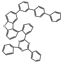 c1ccc(-c2ccc(-c3cccc(-c4ccc5oc6cccc(-c7ccccc7-c7nc(-c8ccccc8)nc(-c8ccccc8)n7)c6c5c4)c3)cc2)cc1